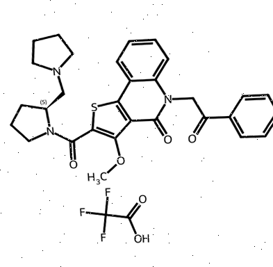 COc1c(C(=O)N2CCC[C@H]2CN2CCCC2)sc2c1c(=O)n(CC(=O)c1ccccc1)c1ccccc21.O=C(O)C(F)(F)F